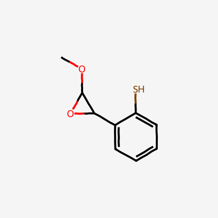 COC1OC1c1ccccc1S